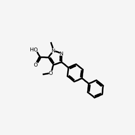 COc1c(-c2ccc(-c3ccccc3)cc2)nn(C)c1C(=O)O